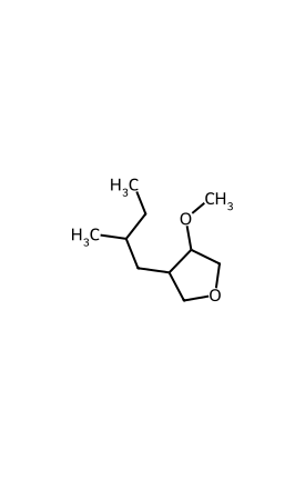 CCC(C)CC1COCC1OC